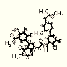 CO[C@@H](C)CN1CCN(c2cc(NC(=O)Cn3cc(-c4cc(C(N)=O)c(O)c(F)c4F)c4c(=O)n(C)cnc43)c(Cl)c(F)n2)[C@@H](C)C1